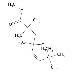 COC(=O)C(C)(C)CC(C)(C)/C=C\[Si](C)(C)C